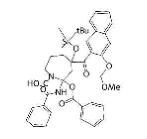 COCOc1cc2ccccc2cc1C(=O)C1(O[Si](C)(C)C(C)(C)C)CCCN(C(=O)O)C(NC(=O)c2ccccc2)(OC(=O)c2ccccc2)C1